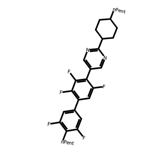 CCCCCc1c(F)cc(-c2cc(F)c(-c3cnc(C4CCC(CCCCC)CC4)nc3)c(F)c2F)cc1F